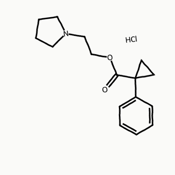 Cl.O=C(OCCN1CCCC1)C1(c2ccccc2)CC1